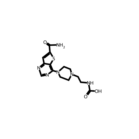 NC(=O)c1cc2ncnc(N3CCN(CCNC(=O)O)CC3)c2s1